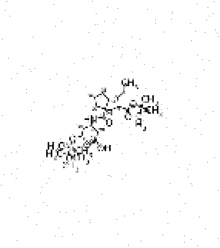 CCC[C@H](CC1(C(=O)N[C@H](CCO[Si](C)(C)C(C)(C)C)CC(=O)O)CCCC1)C(=O)OC(C)(C)C